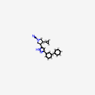 N#CN1CC(c2cc(-c3cccc(-c4ccccc4)c3)n[nH]2)C(C2CC2)C1